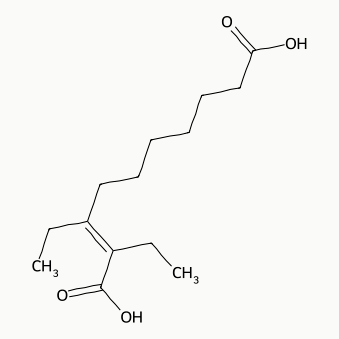 CCC(CCCCCCC(=O)O)=C(CC)C(=O)O